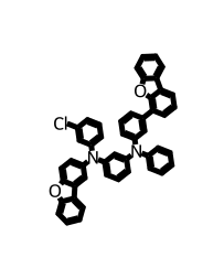 Clc1cccc(N(c2cccc(N(c3ccccc3)c3cccc(-c4cccc5c4oc4ccccc45)c3)c2)c2ccc3oc4ccccc4c3c2)c1